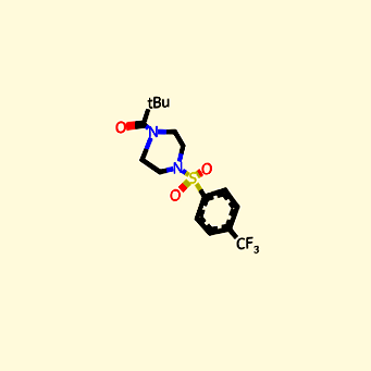 CC(C)(C)C(=O)N1CCN(S(=O)(=O)c2ccc(C(F)(F)F)cc2)CC1